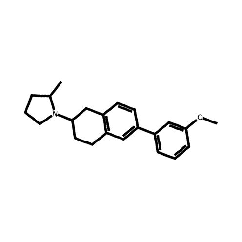 COc1cccc(-c2ccc3c(c2)CCC(N2CCCC2C)C3)c1